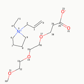 C=CC[N+]1(CC)CCCC1.COCCOCCOCCC(=O)[O-]